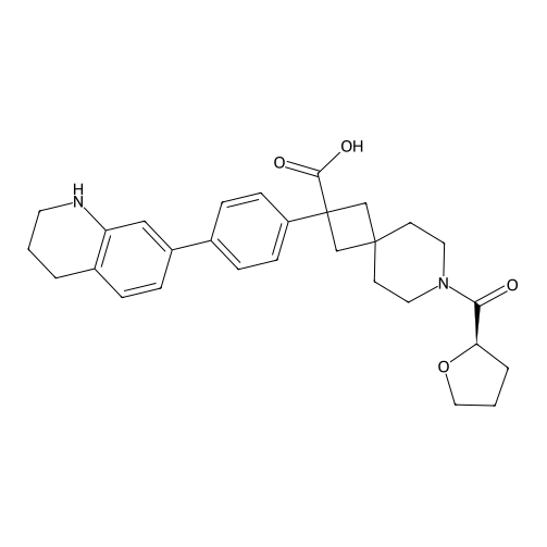 O=C([C@H]1CCCO1)N1CCC2(CC1)CC(C(=O)O)(c1ccc(-c3ccc4c(c3)NCCC4)cc1)C2